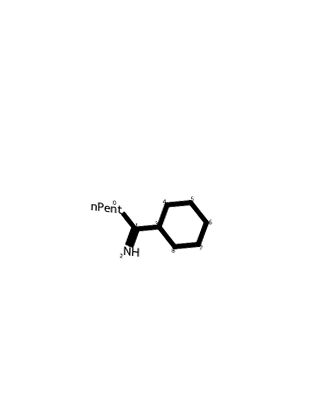 CCC[CH]CC(=N)C1CCCCC1